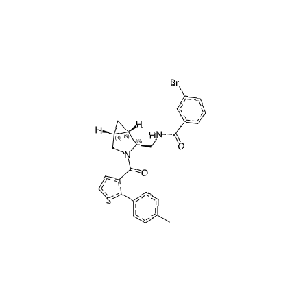 Cc1ccc(-c2sccc2C(=O)N2C[C@@H]3C[C@@H]3[C@H]2CNC(=O)c2cccc(Br)c2)cc1